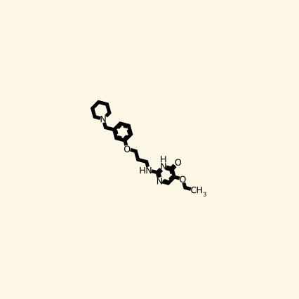 CCOc1cnc(NCCCOc2cccc(CN3CCCCC3)c2)[nH]c1=O